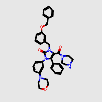 O=C(c1c(-c2ccccc2)n(-c2cccc(N3CCOCC3)c2)c(=O)n1Cc1cccc(OCc2ccccc2)c1)N1CCNCC1